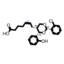 O=C(O)CCC/C=C\C[C@@H]1CO[C@H](c2ccccc2Cl)O[C@@H]1c1ccccc1O